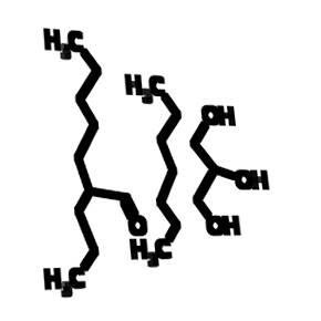 CCCCCC(C=O)CCC.CCCCCCC.OCC(O)CO